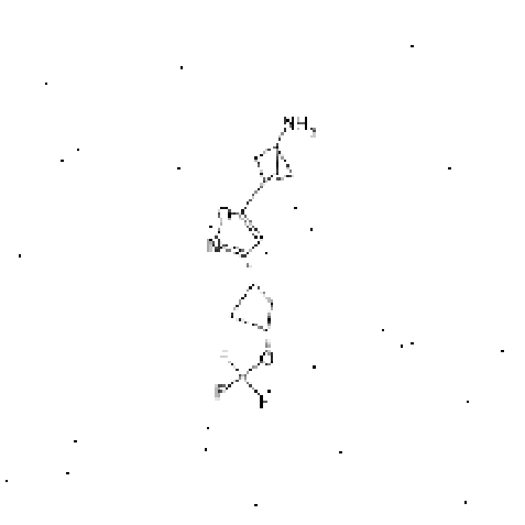 NC12CC(c3cc([C@H]4C[C@@H](OC(F)(F)F)C4)no3)(C1)C2